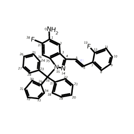 Nc1cc2c(/C=C/c3ccccc3F)nn(C(c3ccccc3)(c3ccccc3)c3ccccc3)c2cc1F